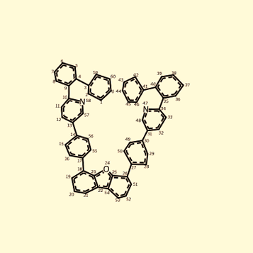 c1ccc(-c2ccccc2-c2ccc(-c3ccc(-c4cccc5c4oc4c(-c6ccc(-c7ccc(-c8ccccc8-c8ccccc8)nc7)cc6)cccc45)cc3)cn2)cc1